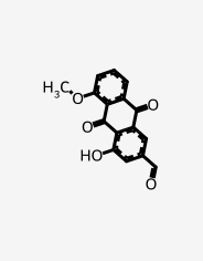 COc1cccc2c1C(=O)c1c(O)cc(C=O)cc1C2=O